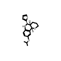 CC(C)Oc1ccc2c(c1)[C@H]1OCCC[C@H]1[C@H](c1cccs1)N2